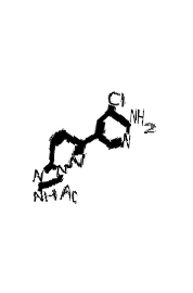 CC(=O)Nc1cn2nc(-c3cnc(N)c(Cl)c3)ccc2n1